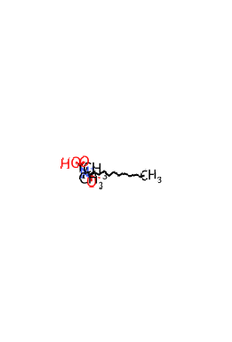 CCCCCCCCCCCC([O-])[N+](C)(C)CC(=O)O